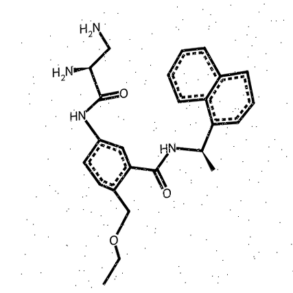 CCOCc1ccc(NC(=O)[C@@H](N)CN)cc1C(=O)N[C@H](C)c1cccc2ccccc12